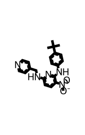 CC(C)(C)c1ccc(Nc2nc(NCc3ccncc3)ccc2[N+](=O)[O-])cc1